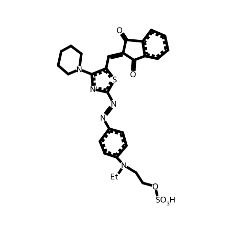 CCN(CCOS(=O)(=O)O)c1ccc(N=Nc2nc(N3CCCCC3)c(C=C3C(=O)c4ccccc4C3=O)s2)cc1